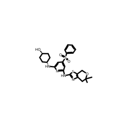 CC1(C)Cc2nc(Nc3cc(S(=O)(=O)c4ccccc4)cc(N[C@H]4CC[C@H](O)CC4)n3)sc2CO1